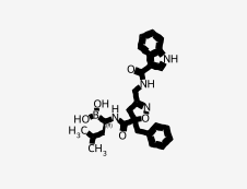 CC(C)C[C@H](NC(=O)C1(Cc2ccccc2)CC(CNC(=O)c2c[nH]c3ccccc23)=NO1)B(O)O